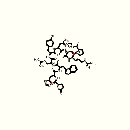 CCNC(O)C1CCCN1C(=O)C(CCCNC(=N)N)NC(=O)C(CC(C)C)NC(=O)C(CC(C)C)NC(=O)C(Cc1ccc(O)cc1)NC(=O)C(COC(C)C)NC(=O)C(Cc1c[nH]c2ccccc12)NC(=O)C(Cc1cnc[nH]1)NC(=O)C1CCC(=O)N1